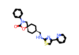 O=C1O[C@]2(CC[C@H](CNc3nc(-c4ccccn4)cs3)CC2)CN1c1ccccc1